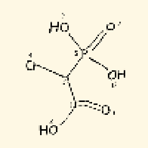 O=C(O)C(Cl)P(=O)(O)O